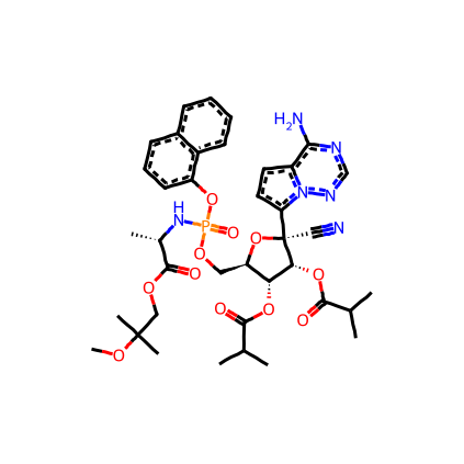 COC(C)(C)COC(=O)[C@H](C)NP(=O)(OC[C@H]1O[C@@](C#N)(c2ccc3c(N)ncnn23)[C@H](OC(=O)C(C)C)[C@@H]1OC(=O)C(C)C)Oc1cccc2ccccc12